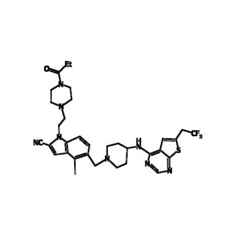 CCC(=O)N1CCN(CCn2c(C#N)cc3c(C)c(CN4CCC(Nc5ncnc6sc(CC(F)(F)F)cc56)CC4)ccc32)CC1